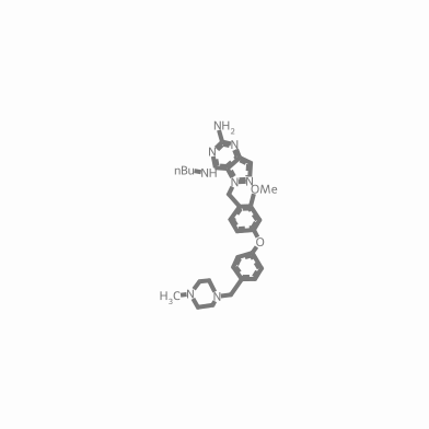 CCCCNc1nc(N)nc2cnn(Cc3ccc(Oc4ccc(CN5CCN(C)CC5)cc4)cc3OC)c12